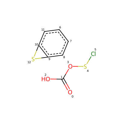 O=C(O)OSCl.c1ccc2c(c1)S2